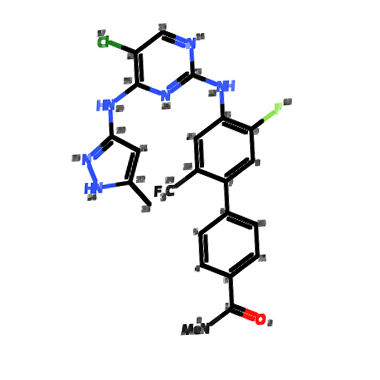 CNC(=O)c1ccc(-c2cc(F)c(Nc3ncc(Cl)c(Nc4cc(C)[nH]n4)n3)cc2C(F)(F)F)cc1